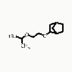 CC(OCCOC1CC2CCC1C2)C(C)(C)C